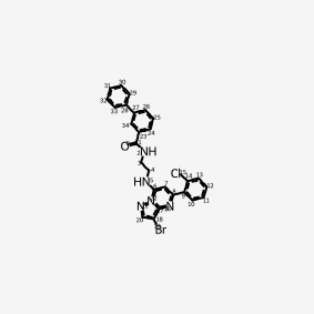 O=C(NCCNc1cc(-c2ccccc2Cl)nc2c(Br)cnn12)c1cccc(-c2ccccc2)c1